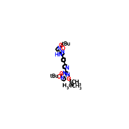 CC(C)(C)OC(=O)N1CCC[C@H]1c1ncc(-c2ccc(-c3ccc(-c4cn(COCC[Si](C)(C)C)c([C@@H]5CCCN5C(=O)OC(C)(C)C)n4)nc3)cc2)[nH]1